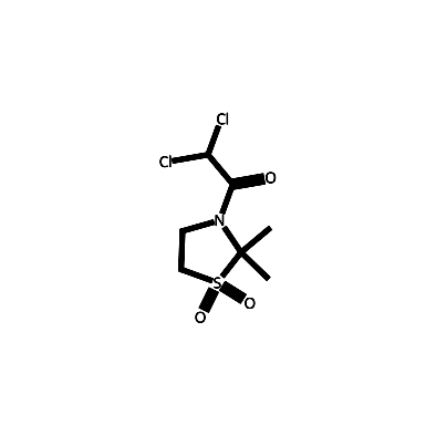 CC1(C)N(C(=O)C(Cl)Cl)CCS1(=O)=O